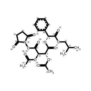 CC(=O)O[C@@H](C(=O)O[C@@H](C(=O)OCC(C)C)c1ccccc1)[C@@H](OC(C)=O)C(=O)ON1C(=O)CCC1=O